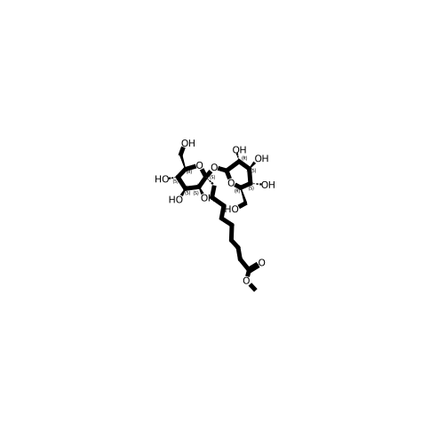 COC(=O)CCCCCCCC[C@@]1(OC2O[C@H](CO)[C@@H](O)[C@H](O)[C@H]2O)O[C@H](CO)[C@@H](O)[C@H](O)[C@@H]1O